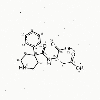 O=C(O)C[C@H](NC(=O)C1(c2ccccc2)CCNCC1)C(=O)O